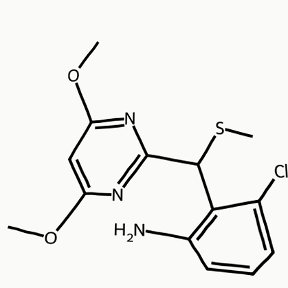 COc1cc(OC)nc(C(SC)c2c(N)cccc2Cl)n1